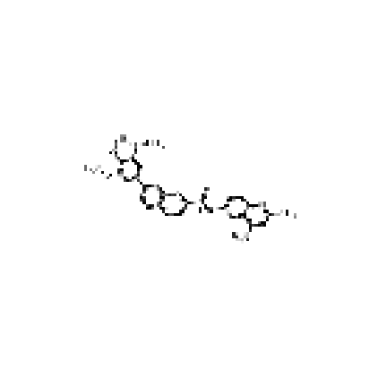 COc1cc(-c2ccc3ccc(C(=O)Nc4ccc5nc(C)cc(N)c5c4)nc3c2)cc(OC)c1OC